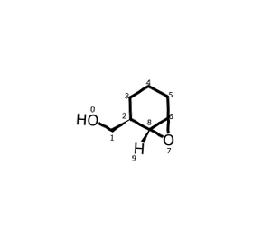 OC[C@H]1CCCC2O[C@@H]21